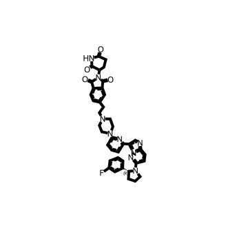 O=C1CCC(N2C(=O)c3ccc(CCN4CCN(c5cccc(-c6cnc7ccc(N8CCC[C@@H]8c8cccc(F)c8)nn67)n5)CC4)cc3C2=O)C(=O)N1